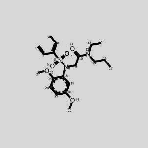 C=C/C(=C\C)S(=O)(=O)N(CC(=O)N(CC)CCC)c1cc(OC)ccc1OC